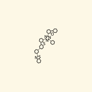 c1ccc(-c2nc(-c3cccc4c3oc3ccccc34)nc(-c3cccc4c3sc3ccc(-c5cccc(-c6nc7ccccc7s6)c5)cc34)n2)cc1